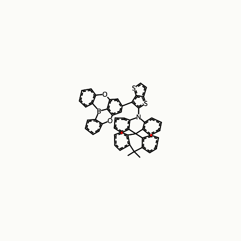 CC1(C)c2ccccc2C2(c3ccccc3N(c3sc4ccsc4c3-c3cc4c5c(c3)Oc3ccccc3B5c3ccccc3O4)c3ccccc32)c2ccccc21